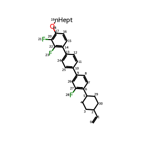 C=CC1CCC(c2ccc(-c3ccc(-c4ccc(OCCCCCCC)c(F)c4F)cc3)cc2F)CC1